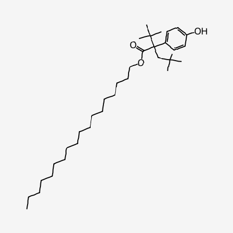 CCCCCCCCCCCCCCCCCCOC(=O)C(CC(C)(C)C)(c1ccc(O)cc1)C(C)(C)C